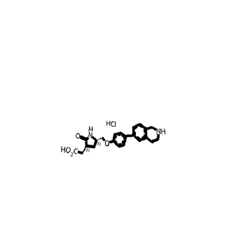 Cl.O=C(O)C[C@@H]1C[C@@H](COc2ccc(-c3ccc4c(c3)CCNC4)cc2)NC1=O